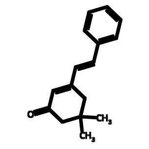 CC1(C)CC(=O)C=C(C=Cc2ccccc2)C1